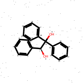 O[C@@H](c1ccccc1)C(O)(c1ccccc1)c1ccccc1